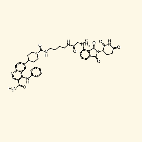 CN(CC(=O)NCCCCNC(=O)N1CCC(c2ccc3ncc(C(N)=O)c(Nc4ccccc4)c3c2)CC1)c1cccc2c1C(=O)N(C1CCC(=O)NC1=O)C2=O